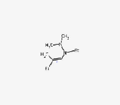 CC/C(C)=C/N(CC)N(C)C